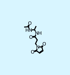 CC(=O)NC(C)NC(=O)CCN1C(=O)C=CC1=O